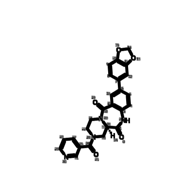 O=C1Nc2ccc(-c3ccc4c(c3)OCO4)cc2C(=O)N2CCN(C(=O)c3cccnc3)C[C@H]12